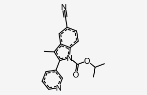 Cc1c(-c2cccnc2)n(C(=O)OC(C)C)c2ccc(C#N)cc12